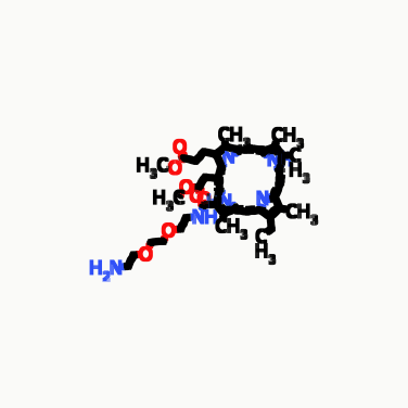 CCC1=C(C)c2cc3[nH]c(cc4nc(c(CC(=O)OC)c5[nH]c(cc1n2)c(C)c5C(=O)NCCOCCOCCN)C(CCC(=O)OC)C4C)c(C)c3C